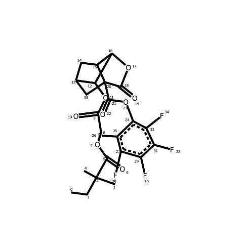 CCC(C)(C)C(=O)OCC(=O)OC1C2CC3C1OC(=O)C3(C(=O)Oc1c(F)c(F)c(F)c(F)c1F)C2